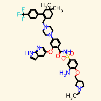 CCN1CCC(COc2ccc(S(=O)(=O)NC(=O)c3ccc(N4CCN(CC5=C(c6ccc(C(F)(F)F)cc6)CC(C)(C)CC5)CC4)cc3Oc3cnc4[nH]ccc4c3)cc2N)C1